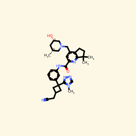 C[C@@H]1C[C@H](O)CN(Cc2cc(C(=O)Nc3cccc(C4(c5nncn5C)CC(CC#N)C4)c3)nc3c2CCC3(C)C)C1